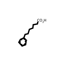 O=C(O)CCCCCCc1[c]cccc1